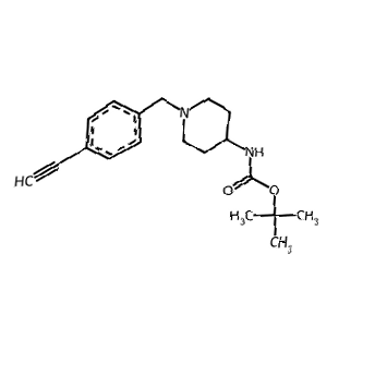 C#Cc1ccc(CN2CCC(NC(=O)OC(C)(C)C)CC2)cc1